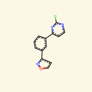 Clc1nccc(-c2cccc(-c3ccon3)c2)n1